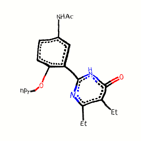 CCCOc1ccc(NC(C)=O)cc1-c1nc(CC)c(CC)c(=O)[nH]1